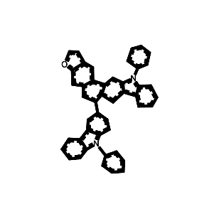 c1ccc(-n2c3ccccc3c3cc(-c4cc5cc6occc6cc5c5cc6c(cc45)c4ccccc4n6-c4ccccc4)ccc32)cc1